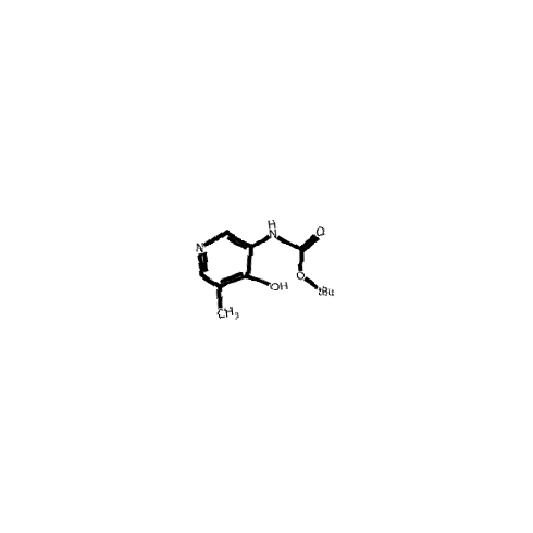 Cc1cncc(NC(=O)OC(C)(C)C)c1O